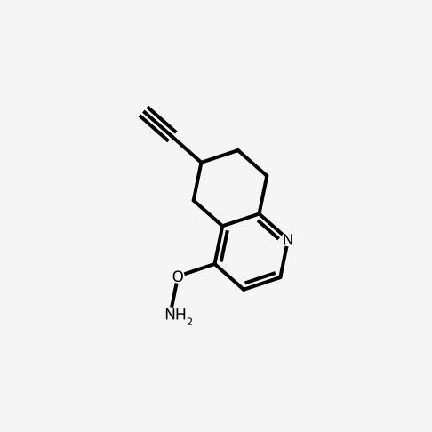 C#CC1CCc2nccc(ON)c2C1